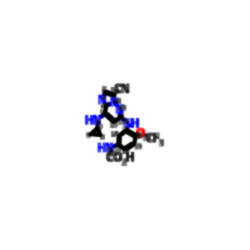 N#Cc1cnc2c(NC3CC3)cc(Nc3cc(NC(=O)O)ccc3OC(F)(F)F)nn12